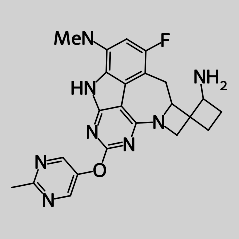 CNc1cc(F)c2c3c1[nH]c1nc(Oc4cnc(C)nc4)nc(c13)N1CC3(CCC3N)C1C2